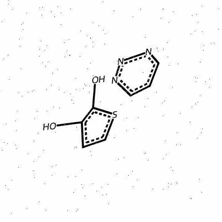 Oc1ccsc1O.c1cnnnc1